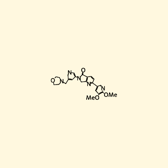 COc1cc(-c2ccc3c(n2)CN(c2cncc(CN4CCOCC4)c2)C3=O)cnc1OC